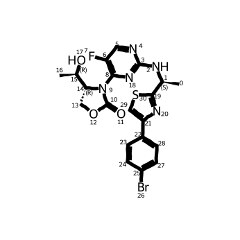 C[C@H](Nc1ncc(F)c(N2C(=O)OC[C@@H]2[C@@H](C)O)n1)c1nc(-c2ccc(Br)cc2)cs1